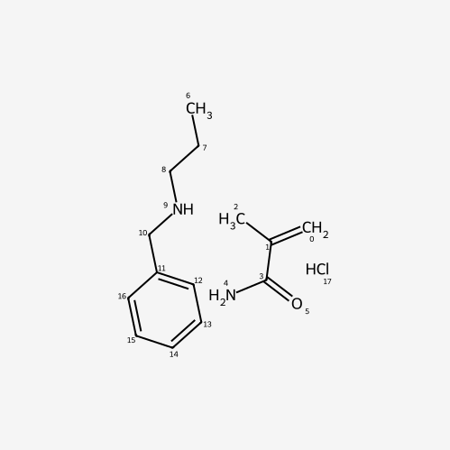 C=C(C)C(N)=O.CCCNCc1ccccc1.Cl